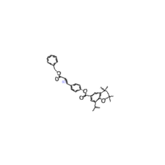 CC(C)c1cc(C(=O)Oc2ccc(/C=C/C(=O)OCc3ccccc3)cc2)cc2c1OC(C)(C)CC2(C)C